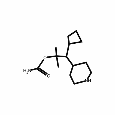 CC(C)(OC(N)=O)C(C1CCC1)C1CCNCC1